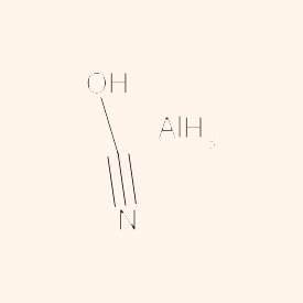 N#CO.[AlH3]